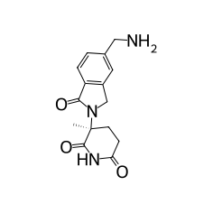 C[C@]1(N2Cc3cc(CN)ccc3C2=O)CCC(=O)NC1=O